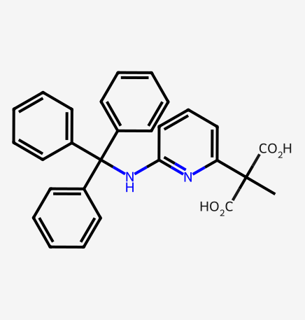 CC(C(=O)O)(C(=O)O)c1cccc(NC(c2ccccc2)(c2ccccc2)c2ccccc2)n1